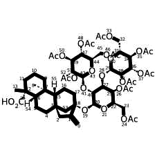 C=C1C[C@@]23CC[C@H]4[C@@](C)(CCC[C@@]4(C)C(=O)O)[C@@H]2CC[C@]1(O[C@@H]1O[C@H](COC(C)=O)[C@@H](OC(C)=O)[C@H](O[C@@H]2O[C@H](COC(C)=O)[C@@H](OC(C)=O)[C@H](OC(C)=O)[C@H]2OC(C)=O)[C@H]1O[C@@H]1O[C@H](COC(C)=O)[C@@H](OC(C)=O)[C@H](OC(C)=O)[C@H]1OC(C)=O)C3